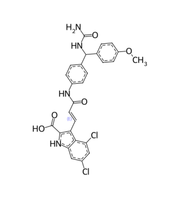 COc1ccc(C(NC(N)=O)c2ccc(NC(=O)/C=C/c3c(C(=O)O)[nH]c4cc(Cl)cc(Cl)c34)cc2)cc1